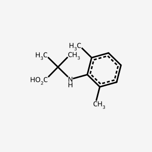 Cc1cccc(C)c1NC(C)(C)C(=O)O